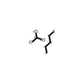 CCCCC.ClC(Cl)Cl